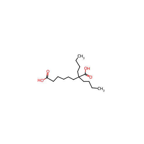 CCCCC(CCCC)(CCCCCC(=O)O)C(=O)O